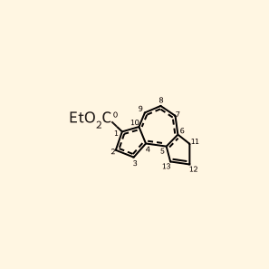 CCOC(=O)c1ccc2c3c(cccc1-2)CC=C3